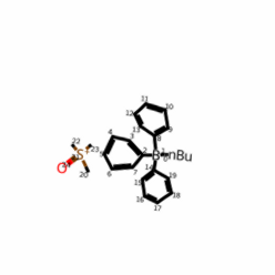 CCCC[B-](c1ccccc1)(c1ccccc1)c1ccccc1.C[S+](C)(C)=O